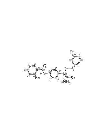 NC(=S)N(CCc1cccc(F)c1)c1ccc(NC(=O)c2ccccc2F)cc1